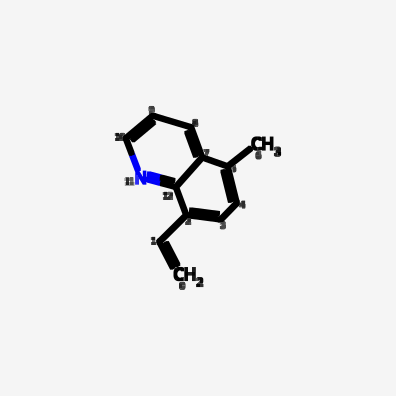 C=Cc1ccc(C)c2cccnc12